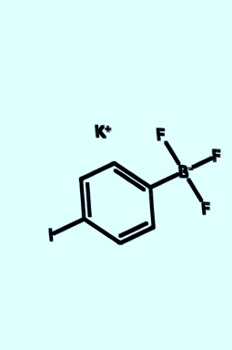 F[B-](F)(F)c1ccc(I)cc1.[K+]